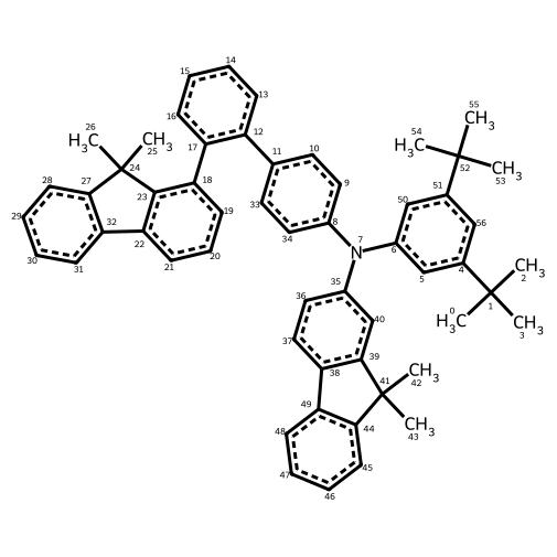 CC(C)(C)c1cc(N(c2ccc(-c3ccccc3-c3cccc4c3C(C)(C)c3ccccc3-4)cc2)c2ccc3c(c2)C(C)(C)c2ccccc2-3)cc(C(C)(C)C)c1